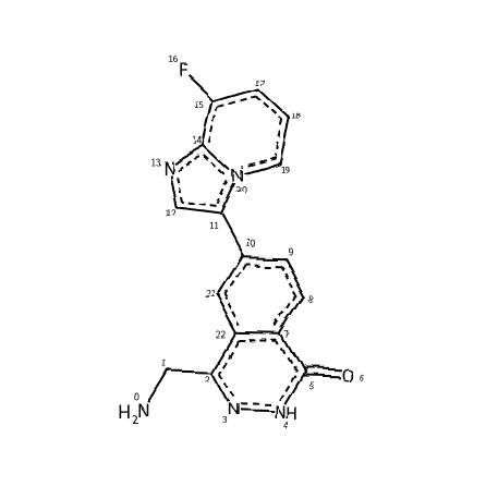 NCc1n[nH]c(=O)c2ccc(-c3cnc4c(F)cccn34)cc12